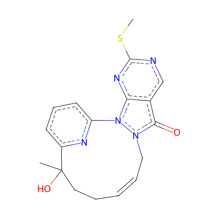 CSc1ncc2c(=O)n3n(c2n1)-c1cccc(n1)C(C)(O)CCC=CC3